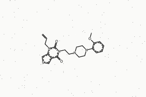 C=CCn1c(=O)n(CCN2CCN(c3ccccc3OC)CC2)c(=O)c2cscc21